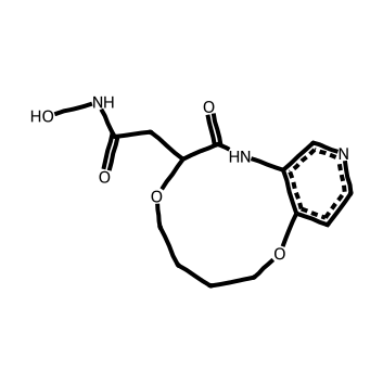 O=C(CC1OCCCCOc2ccncc2NC1=O)NO